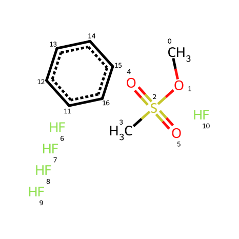 COS(C)(=O)=O.F.F.F.F.F.c1ccccc1